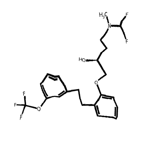 CN(CC[C@H](O)COc1ccccc1CCc1cccc(OC(F)(F)F)c1)C(F)F